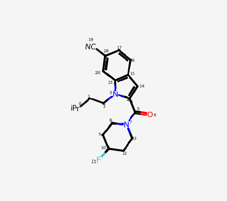 CC(C)CCn1c(C(=O)N2CCC(F)CC2)cc2ccc(C#N)cc21